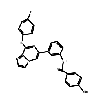 CC(C)(C)c1ccc(C(=O)Nc2cccc(-c3cn4ccnc4c(Nc4ccc(F)cc4)n3)c2)cc1